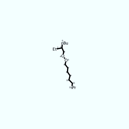 CCCCC(CC)COOCCCCCCC(C)C